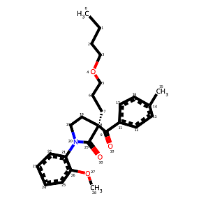 CCCCOCCC[C@@]1(C(=O)c2ccc(C)cc2)CCN(c2ccccc2OC)C1=O